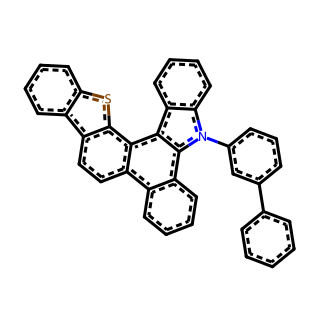 c1ccc(-c2cccc(-n3c4ccccc4c4c5c(ccc6c7ccccc7sc65)c5ccccc5c43)c2)cc1